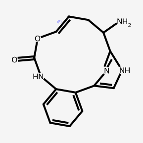 NC1C/C=C/OC(=O)Nc2ccccc2-c2c[nH]c1n2